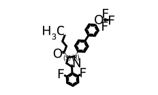 CCCCC(=O)[C@H]1CC(c2c(F)cccc2F)=N[C@H]1c1ccc(-c2ccc(OC(F)(F)F)cc2)cc1